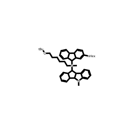 CCCCCCC1=CC2C(C=C1)C1C=CC=CC1C2[Si](C)(CCCCCCOC(C)(C)C)C1C2C=CC=CC2C2C1c1ccccc1N2C